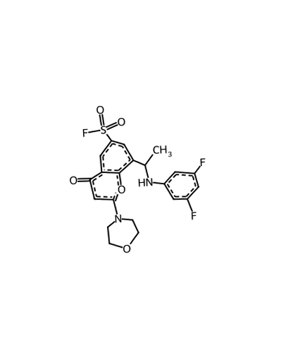 CC(Nc1cc(F)cc(F)c1)c1cc(S(=O)(=O)F)cc2c(=O)cc(N3CCOCC3)oc12